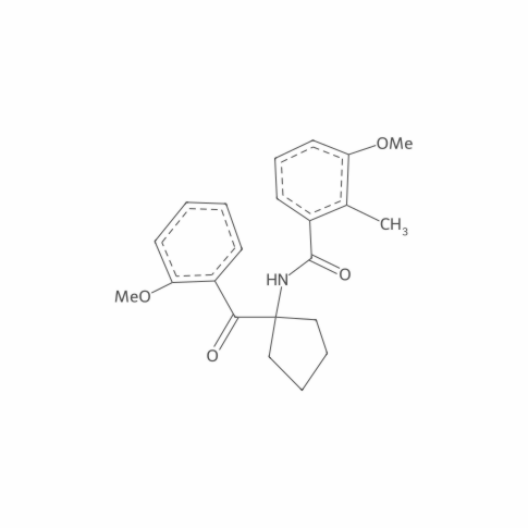 COc1ccccc1C(=O)C1(NC(=O)c2cccc(OC)c2C)CCCC1